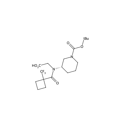 CC(C)(C)OC(=O)N1CCC[C@H](N(CC(=O)O)C(=O)C2(C(F)(F)F)CCC2)C1